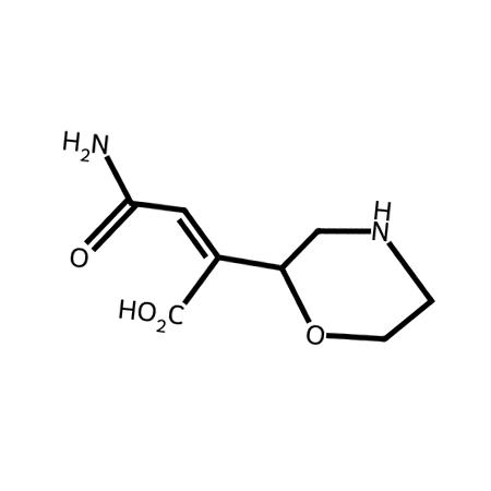 NC(=O)/C=C(\C(=O)O)C1CNCCO1